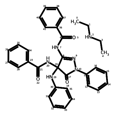 CCNCC.O=C(NC1=NN(c2ccccc2)C(=O)C1(NC(=O)c1ccccc1)Nc1ccccc1)c1ccccc1